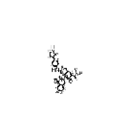 C=C(c1cc2cnc(Nc3ccc(C4CCNC4)cc3)nc2n(C2Cc3ccccc3C(=O)N2C)c1=O)N(C)C